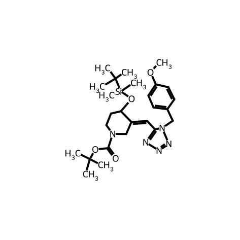 COc1ccc(Cn2nnnc2/C=C2\CN(C(=O)OC(C)(C)C)CCC2O[Si](C)(C)C(C)(C)C)cc1